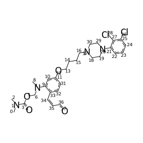 CN(C)C(=O)OCN(C)c1cc(OCCCCN2CCN(c3cccc(Cl)c3Cl)CC2)ccc1/C=C\C=O